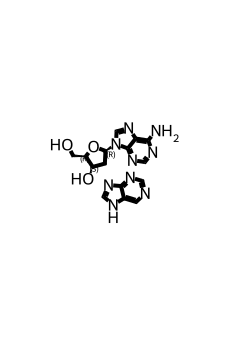 Nc1ncnc2c1ncn2[C@H]1C[C@H](O)[C@@H](CO)O1.c1ncc2[nH]cnc2n1